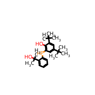 CC(C)(C)c1cc(Pc2ccccc2C(C)(C)O)c(O)c(C(C)(C)C)c1